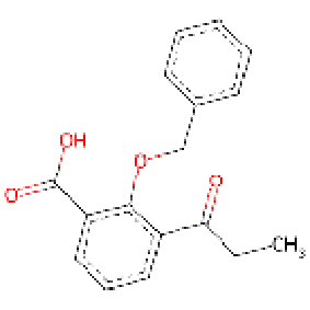 CCC(=O)c1cccc(C(=O)O)c1OCc1ccccc1